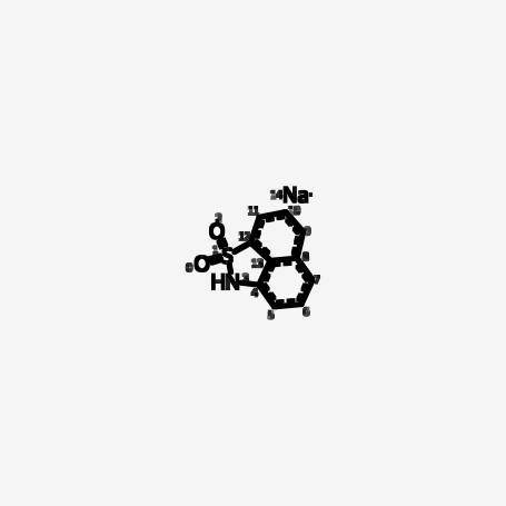 O=S1(=O)Nc2cccc3cccc1c23.[Na]